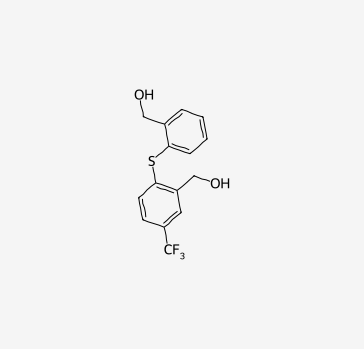 OCc1ccccc1Sc1ccc(C(F)(F)F)cc1CO